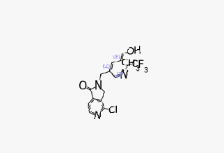 CC(/C=C(\C=N/CC(F)(F)F)CN1Cc2c(ccnc2Cl)C1=O)=C\O